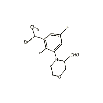 CC(Br)c1cc(F)cc(N2CCOCC2C=O)c1F